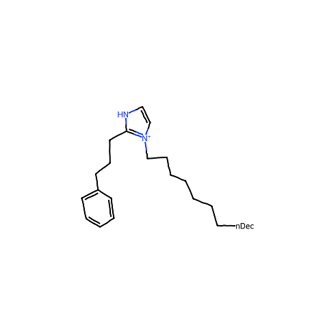 CCCCCCCCCCCCCCCCC[n+]1cc[nH]c1CCCc1ccccc1